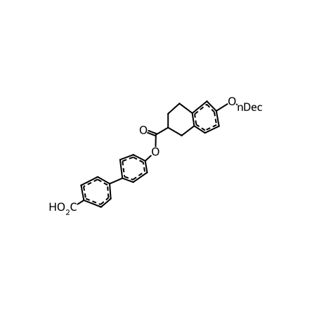 CCCCCCCCCCOc1ccc2c(c1)CCC(C(=O)Oc1ccc(-c3ccc(C(=O)O)cc3)cc1)C2